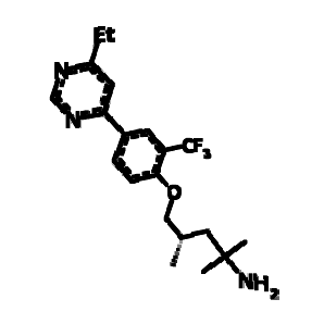 CCc1cc(-c2ccc(OC[C@@H](C)CC(C)(C)N)c(C(F)(F)F)c2)ncn1